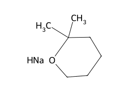 CC1(C)CCCCO1.[NaH]